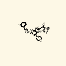 CNC(=O)c1nc2nc(N/N=C/c3cccc(C)c3)nc(N3CCOCC3)c2[nH]1